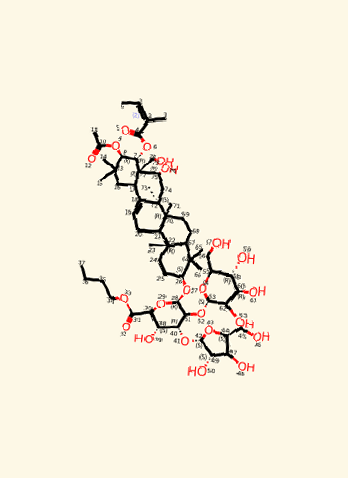 C/C=C(/C)C(=O)O[C@H]1[C@H](OC(C)=O)C(C)(C)CC2C3=CCC4[C@@]5(C)CC[C@H](O[C@@H]6OC(C(=O)OCCCC)[C@@H](O)[C@@H](O[C@@H]7O[C@@H](CO)C(O)[C@@H]7O)C6O[C@@H]6OC(CO)[C@H](O)[C@@H](O)C6O)C(C)(C)C5CC[C@@]4(C)[C@]3(C)C[C@@H](O)[C@]21CO